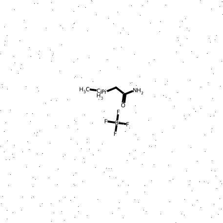 CC.CC(C)CC(N)=O.F[B-](F)(F)F